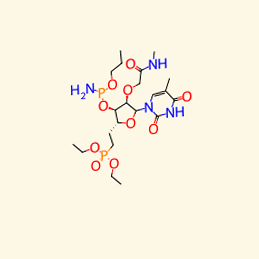 CCCOP(N)O[C@@H]1[C@@H](CCP(=O)(OCC)OCC)OC(n2cc(C)c(=O)[nH]c2=O)[C@@H]1OCC(=O)NC